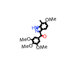 COc1cc(C(=O)c2n[nH]c3c(C)c(OC)ccc23)cc(OC)c1OC